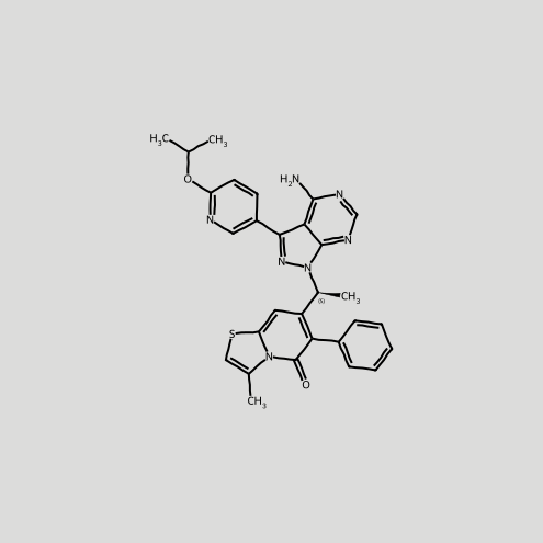 Cc1csc2cc([C@H](C)n3nc(-c4ccc(OC(C)C)nc4)c4c(N)ncnc43)c(-c3ccccc3)c(=O)n12